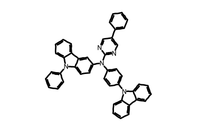 c1ccc(-c2cnc(N(c3ccc(-n4c5ccccc5c5ccccc54)cc3)c3ccc4c(c3)c3ccccc3n4-c3ccccc3)nc2)cc1